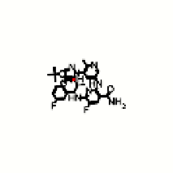 Cc1ncc(Nc2nc(N[C@H](c3cccc(F)c3)[C@H](C)NC(=O)OC(C)(C)C)c(F)cc2C(N)=O)cc1-n1nccn1